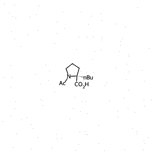 CCCC[C@@]1(C(=O)O)CCCN1C(C)=O